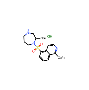 CCCC[C@@H]1CNCCCN1S(=O)(=O)c1cccc2c(OC)nccc12.Cl